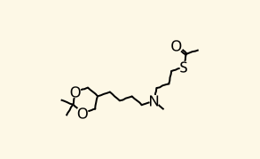 CC(=O)SCCCN(C)CCCCC1COC(C)(C)OC1